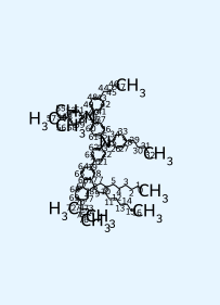 CCCCCCCCC1(CCCCCCCC)c2cc(-c3ccc(N(c4ccc(CCCC)cc4)c4ccc(N(c5ccc(CCCC)cc5)c5ccc(C(C)(C)C)cc5)cc4)cc3)ccc2-c2ccc(C(C)(CC)CC)cc21